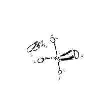 O=[As]([O-])([O-])[O-].[Os+3]